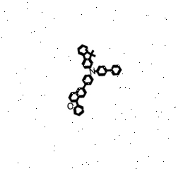 CC1(C)c2ccccc2-c2ccc(N(c3ccc(-c4ccccc4)cc3)c3ccc(-c4ccc5c(ccc6oc7ccccc7c65)c4)cc3)cc21